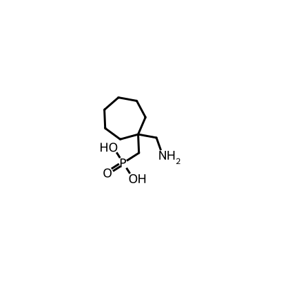 NCC1(CP(=O)(O)O)CCCCCC1